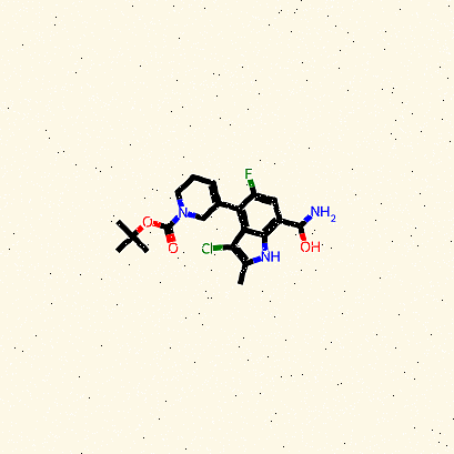 Cc1[nH]c2c(C(N)O)cc(F)c(C3=CCCN(C(=O)OC(C)(C)C)C3)c2c1Cl